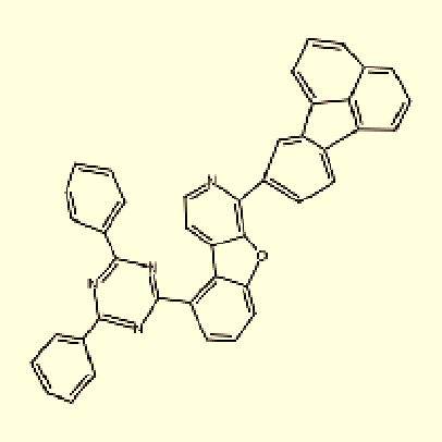 c1ccc(-c2nc(-c3ccccc3)nc(-c3cccc4oc5c(-c6ccc7c(c6)-c6cccc8cccc-7c68)nccc5c34)n2)cc1